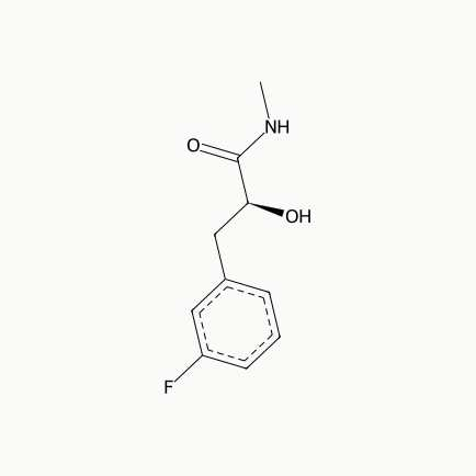 CNC(=O)[C@@H](O)Cc1cccc(F)c1